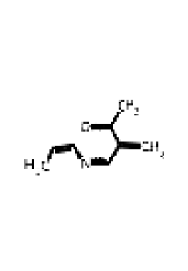 C=C(/C=N\C=C/C)C(C)=O